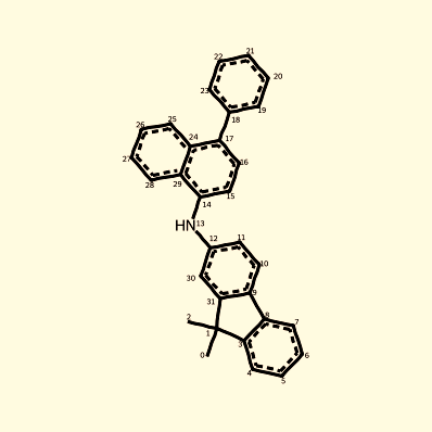 CC1(C)c2ccccc2-c2ccc(Nc3ccc(-c4ccccc4)c4ccccc34)cc21